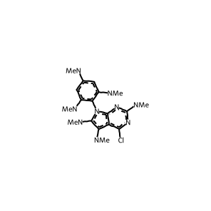 CNc1cc(NC)c(-n2c(NC)c(NC)c3c(Cl)nc(NC)nc32)c(NC)c1